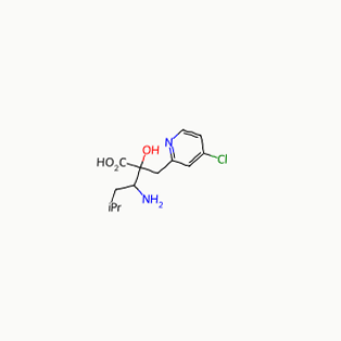 CC(C)CC(N)C(O)(Cc1cc(Cl)ccn1)C(=O)O